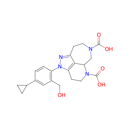 O=C(O)N1CCc2nn(-c3ccc(C4CC4)cc3CO)c3c2C(C1)N(C(=O)O)CC3